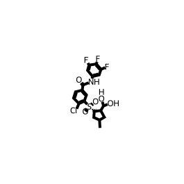 CC1CC(C(O)O)[C@@H](S(=O)(=O)c2cc(C(=O)Nc3cc(F)c(F)c(F)c3)ccc2Cl)C1